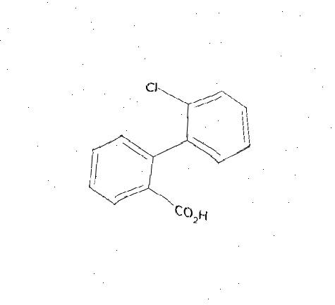 O=C(O)c1ccccc1-c1ccccc1Cl